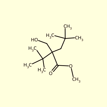 COC(=O)C(CO)(CC(C)(C)C)C(C)(C)C